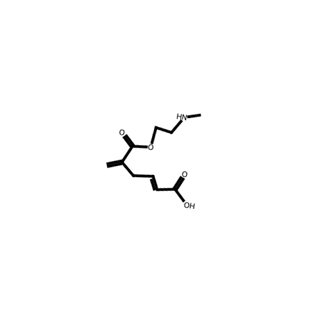 C=C(CC=CC(=O)O)C(=O)OCCNC